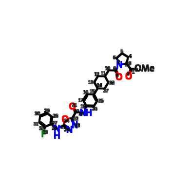 COC(=O)[C@@H]1CCCN1C(=O)CC1CCC(c2ccc(NC(=O)c3nnc(Nc4ccccc4F)o3)cc2)CC1